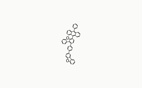 c1ccc(-c2c3ccccc3c(-c3ccc(-c4ccc(-c5ccc6oc7ccccc7c6c5)cc4)c4c3oc3ccccc34)c3ccccc23)cc1